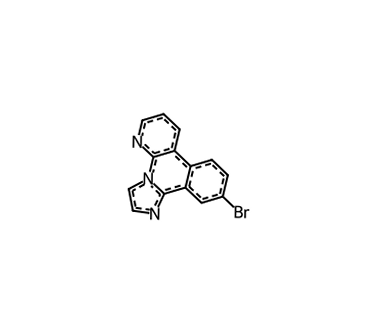 Brc1ccc2c3cccnc3n3ccnc3c2c1